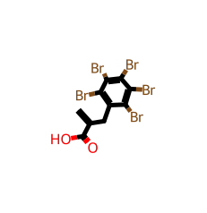 C=C(Cc1c(Br)c(Br)c(Br)c(Br)c1Br)C(=O)O